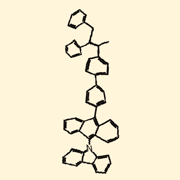 CC(c1ccc(-c2ccc(-c3c4ccccc4c(-n4c5ccccc5c5ccccc54)c4ccccc34)cc2)cc1)C(Cc1ccccc1)c1ccccc1